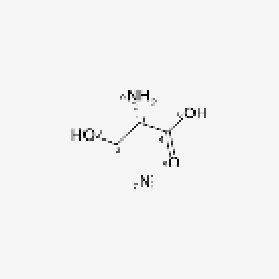 N[C@@H](CO)C(=O)O.[N]